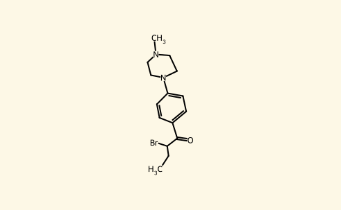 CCC(Br)C(=O)c1ccc(N2CCN(C)CC2)cc1